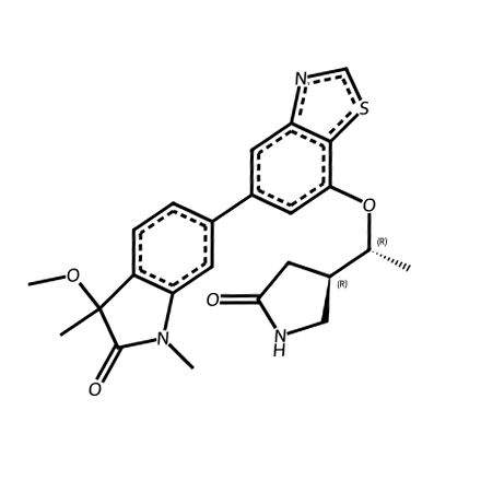 COC1(C)C(=O)N(C)c2cc(-c3cc(O[C@H](C)[C@H]4CNC(=O)C4)c4scnc4c3)ccc21